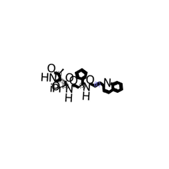 CC(C)[C@H](NC(=O)C[C@H](NC(=O)/C=C/c1ccc2ccccc2n1)c1ccccc1)C(=O)[C@@H]1C(=O)NC(=O)[C@H]1C